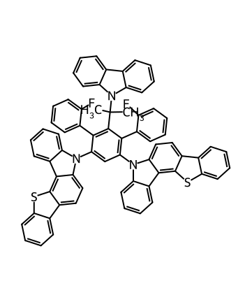 CC(C)(c1c(-c2ccccc2F)c(-n2c3ccccc3c3c4sc5ccccc5c4ccc32)cc(-n2c3ccccc3c3c4sc5ccccc5c4ccc32)c1-c1ccccc1F)n1c2ccccc2c2ccccc21